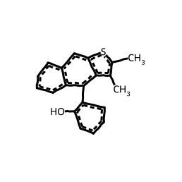 Cc1sc2cc3ccccc3c(-c3ccccc3O)c2c1C